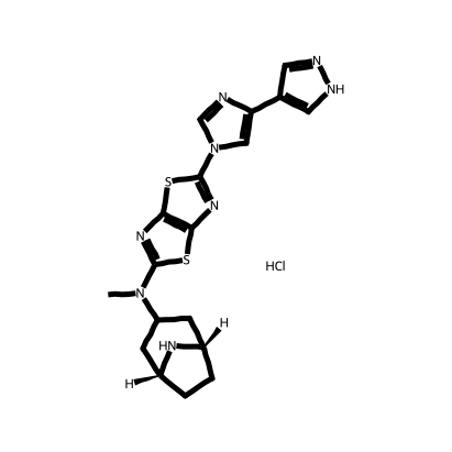 CN(c1nc2sc(-n3cnc(-c4cn[nH]c4)c3)nc2s1)C1C[C@H]2CC[C@@H](C1)N2.Cl